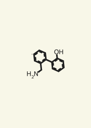 NCc1c[c]ccc1-c1ccccc1O